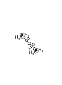 CP(C)(=O)c1ccc(-c2ccc(-c3ccc(-c4c5ccccc5c(-c5ccc(P(C)(C)=O)cc5)c5ccccc45)cc3)c3ccccc23)cc1